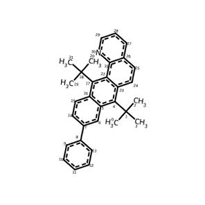 CC(C)(C)c1c2cc(-c3ccccc3)ccc2c(C(C)(C)C)c2c1ccc1cccnc12